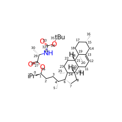 CC(C)[C@H](CC[C@@H](C)[C@H]1CC[C@H]2[C@@H]3CC=C4C[C@@H](C)CC[C@]4(C)[C@H]3CC[C@]12C)OC(=O)[C@H](C)NC(=O)OC(C)(C)C